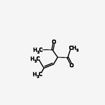 CC(=O)C(C=C(C)C)C(C)=O